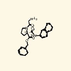 NCC(=O)N1CCC[C@]1(C(=O)Nc1ccc2ccccc2c1)C(=O)OCc1ccccc1